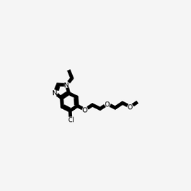 CCn1cnc2cc(Cl)c(OCCOCCOC)cc21